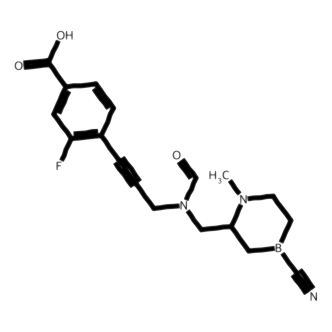 CN1CCB(C#N)CC1CN(C=O)CC#Cc1ccc(C(=O)O)cc1F